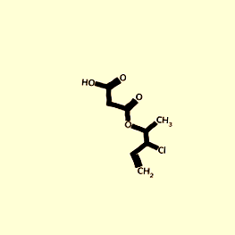 C=CC(Cl)C(C)OC(=O)CC(=O)O